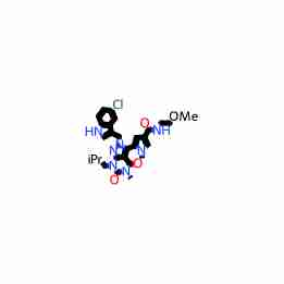 COCCNC(=O)c1cc(-c2c3c(=O)n(C)c(=O)n(CC(C)C)c3nn2Cc2c[nH]c3ccc(Cl)cc23)n(C)c1